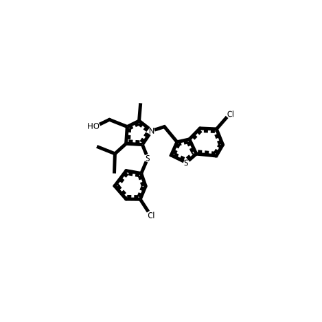 Cc1c(CO)c(C(C)C)c(Sc2cccc(Cl)c2)n1Cc1csc2ccc(Cl)cc12